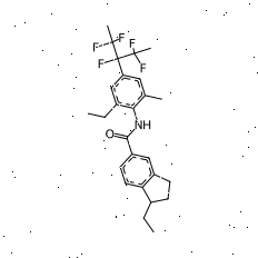 CCc1cc(C(F)(C(C)(F)F)C(C)(F)F)cc(C)c1NC(=O)c1ccc2c(c1)CCC2CC